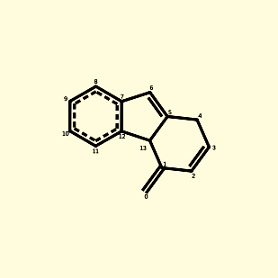 C=C1C=CCC2=Cc3ccccc3C12